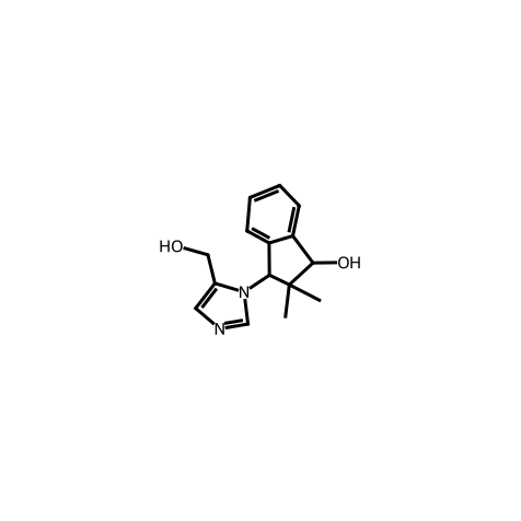 CC1(C)C(O)c2ccccc2C1n1cncc1CO